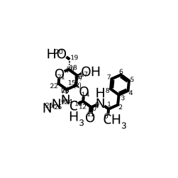 CC(Cc1ccccc1)NC(=O)C(C)O[C@H]1[C@H](O)[C@@H](CO)OC[C@H]1N=[N+]=[N-]